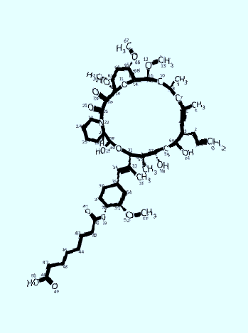 C=CC[C@@H]1/C=C(\C)C[C@H](C)C[C@H](OC)[C@H]2O[C@@](O)(C(=O)C(=O)N3CCCC[C@H]3C(O)O[C@H](/C(C)=C/[C@@H]3CC[C@@H](OC(=O)CCCCCCC(=O)O)[C@H](OC)C3)[C@H](C)[C@@H](O)CC1O)[C@H](C)C[C@@H]2OC